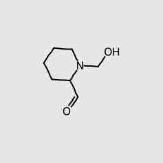 O=CC1CCCCN1CO